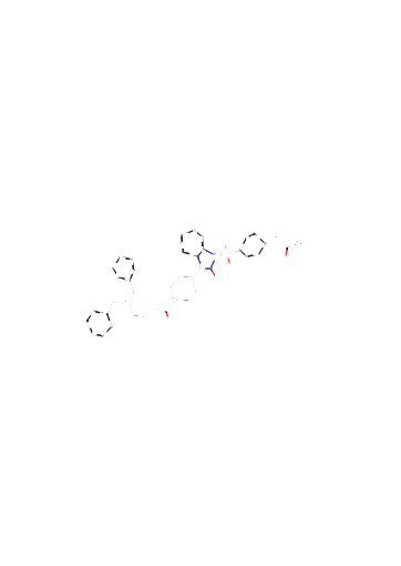 C[C@@H](COC(=O)N1CCC(n2c(=O)n(S(=O)(=O)c3ccc(CC(N)=O)cc3)c3ccccc32)CC1)N(Cc1ccccc1)Cc1ccccc1